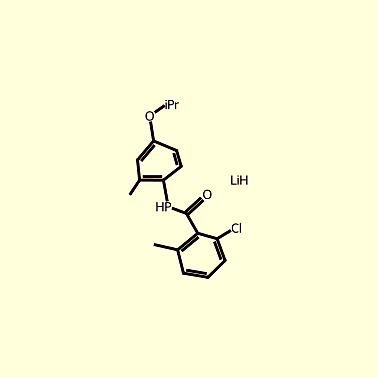 Cc1cc(OC(C)C)ccc1PC(=O)c1c(C)cccc1Cl.[LiH]